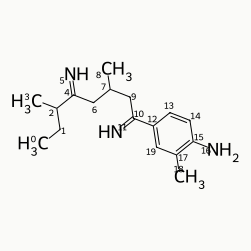 CCC(C)C(=N)CC(C)CC(=N)c1ccc(N)c(C)c1